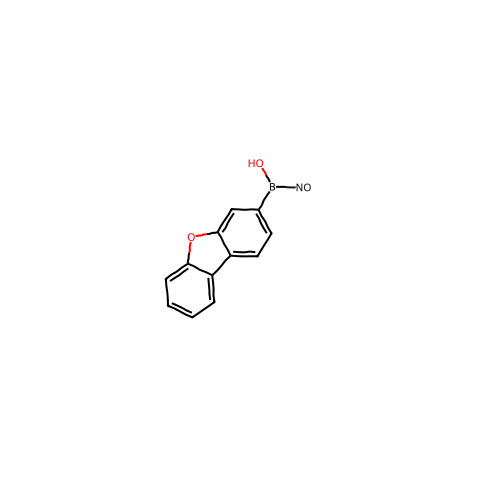 O=NB(O)c1ccc2c(c1)oc1ccccc12